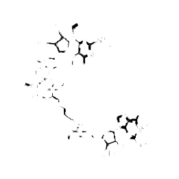 C=CN(c1nc(N)[nH]c(=O)c1NC)[C@@H]1O[C@H](COP(=O)(OC)OP(=O)(OC)OP(=O)(OC)/C(=C/NCCNP(=O)(OC)OC[C@H]2O[C@@H](n3cnc4c(=O)[nH]c(N)nc43)C(O)C2O)N=N)C(O)C1O